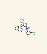 O=C(Nc1ccc(N2CCOCC2)c(C(=O)c2nncc3ccccc23)c1)c1cccc(CCl)c1